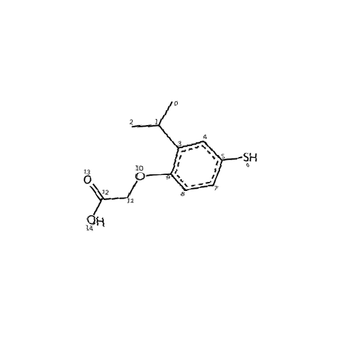 CC(C)c1cc(S)ccc1OCC(=O)O